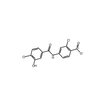 O=C(Nc1ccc([N+](=O)[O-])c(Cl)c1)c1ccc(Cl)c(O)c1